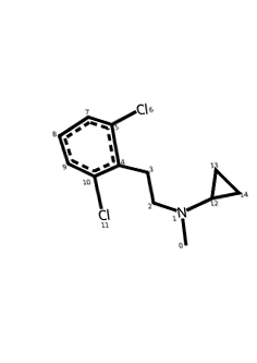 CN(CCc1c(Cl)cccc1Cl)C1CC1